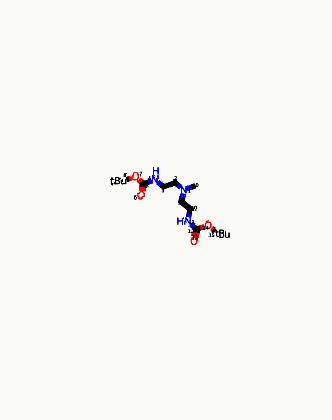 CN(CCNC(=O)OC(C)(C)C)CCNC(=O)OC(C)(C)C